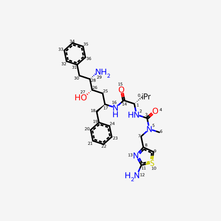 CC(C)[C@H](NC(=O)N(C)Cc1csc(N)n1)C(=O)N[C@@H](Cc1ccccc1)C[C@H](O)[C@@H](N)Cc1ccccc1